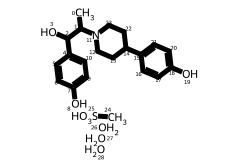 CC(C(O)c1ccc(O)cc1)N1CCC(c2ccc(O)cc2)CC1.CS(=O)(=O)O.O.O.O